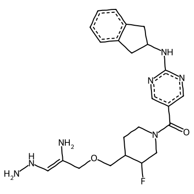 NN/C=C(\N)COCC1CCN(C(=O)c2cnc(NC3Cc4ccccc4C3)nc2)CC1F